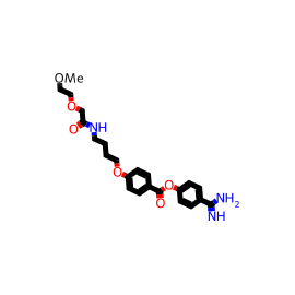 COCCOCC(=O)NCCCCOc1ccc(C(=O)Oc2ccc(C(=N)N)cc2)cc1